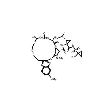 CCC[C@@H]1[C@@H]2CN(C(=O)[C@H](C(C)(C)C)NC(=O)O[C@H](CC)CCCCCCc3nc4ccc(OC)cc4nc3O2)[C@@H]1C(=O)N[C@]1(C(=O)NS(=O)(=O)C2(C)CC2)C[C@H]1C(F)F